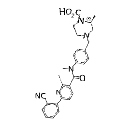 Cc1nc(-c2ccccc2C#N)ccc1C(=O)N(C)c1ccc(CN2CCN(C(=O)O)[C@@H](C)C2)cc1